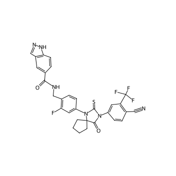 N#Cc1ccc(N2C(=O)C3(CCCC3)N(c3ccc(CNC(=O)c4ccc5[nH]ncc5c4)c(F)c3)C2=S)cc1C(F)(F)F